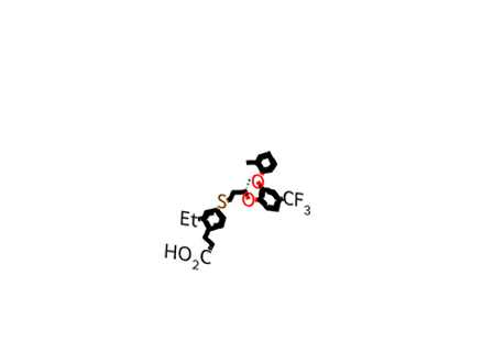 CCc1cc(SCC[C@H](C)Oc2ccc(C(F)(F)F)cc2Oc2ccccc2C)ccc1CCC(=O)O